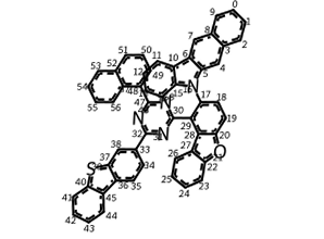 c1ccc2cc3c(cc2c1)c1ccccc1n3-c1ccc2oc3ccccc3c2c1-c1nc(-c2ccc3c(c2)sc2ccccc23)nc(-c2cccc3ccccc23)n1